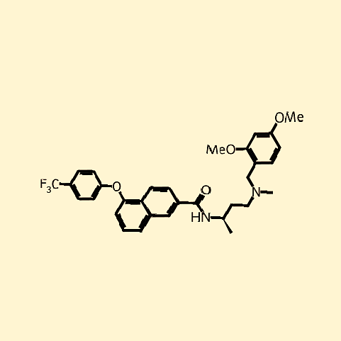 COc1ccc(CN(C)CC[C@@H](C)NC(=O)c2ccc3c(Oc4ccc(C(F)(F)F)cc4)cccc3c2)c(OC)c1